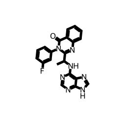 CC(Nc1ncnc2[nH]cnc12)c1nc2ccccc2c(=O)n1-c1cccc(F)c1